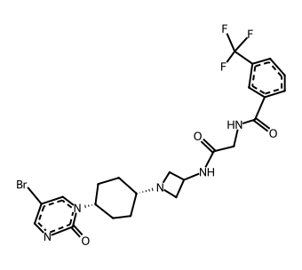 O=C(CNC(=O)c1cccc(C(F)(F)F)c1)NC1CN([C@H]2CC[C@@H](n3cc(Br)cnc3=O)CC2)C1